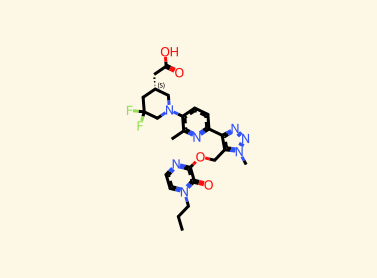 CCCn1ccnc(OCc2c(-c3ccc(N4C[C@@H](CC(=O)O)CC(F)(F)C4)c(C)n3)nnn2C)c1=O